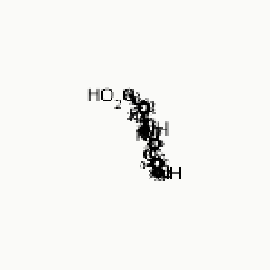 Cc1c(Oc2ccc(F)c(-c3ncc(C(C)(C)c4cccc(CCC(=O)O)c4F)[nH]3)c2)ccc2[nH]ccc12